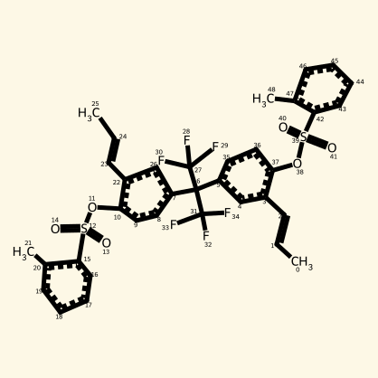 CC=Cc1cc(C(c2ccc(OS(=O)(=O)c3ccccc3C)c(C=CC)c2)(C(F)(F)F)C(F)(F)F)ccc1OS(=O)(=O)c1ccccc1C